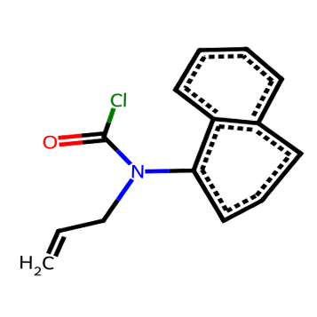 C=CCN(C(=O)Cl)c1cccc2ccccc12